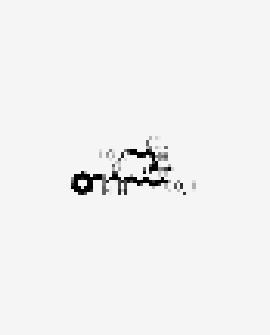 CN(C(=O)N[C@@H](CCC(=O)O)C(=O)O)C(CCCCNC(=O)NCc1ccccc1)C(=O)O